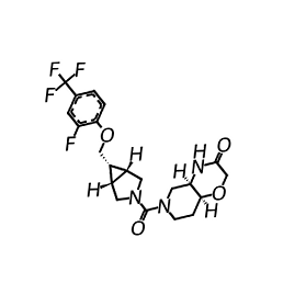 O=C1CO[C@H]2CCN(C(=O)N3C[C@@H]4[C@H](COc5ccc(C(F)(F)F)cc5F)[C@@H]4C3)C[C@H]2N1